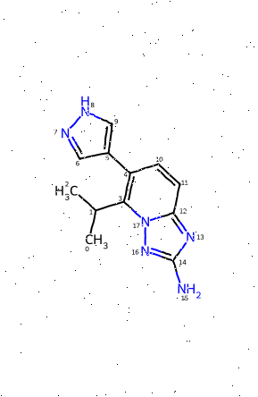 CC(C)c1c(-c2cn[nH]c2)ccc2nc(N)nn12